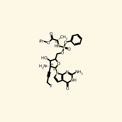 CC(C)OC(=O)[C@H](C)NP(=O)(OCC1O[C@@H](n2ccc3c(=O)[nH]c(N)nc32)[C@@](N)(C#CCF)C1O)Oc1ccccc1